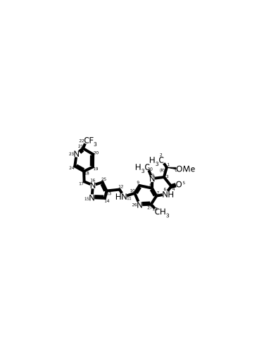 CO[C@H](C)C1C(=O)Nc2c(cc(NCc3cnn(Cc4ccc(C(F)(F)F)nc4)c3)nc2C)N1C